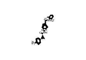 Cc1cccc(Cl)c1NC(=O)c1ccc2nc(NC(=O)[C@@H]3C[C@H]3c3ccc(C(C)C)cc3)sc2c1